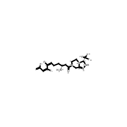 C=C(F)/C=C(F)\C(F)=C/CC[C@@H](N)CC(=O)N1CCN2C(=NN[C@H]2C(F)(F)F)C1